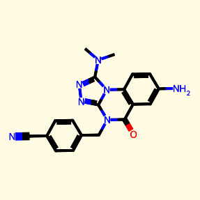 CN(C)c1nnc2n(Cc3ccc(C#N)cc3)c(=O)c3cc(N)ccc3n12